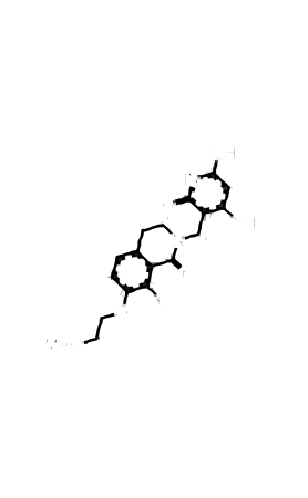 COCCOc1ccc2c(c1Cl)C(=O)N(Cc1c(C)cc(C)[nH]c1=O)CC2